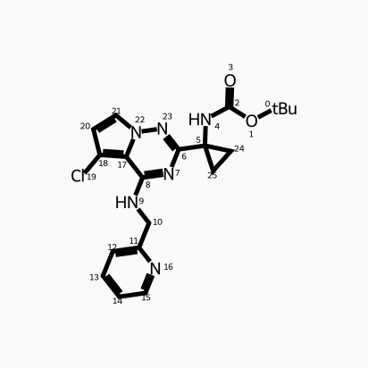 CC(C)(C)OC(=O)NC1(c2nc(NCc3ccccn3)c3c(Cl)ccn3n2)CC1